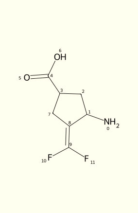 NC1CC(C(=O)O)CC1=C(F)F